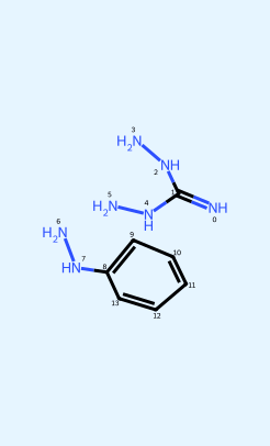 N=C(NN)NN.NNc1ccccc1